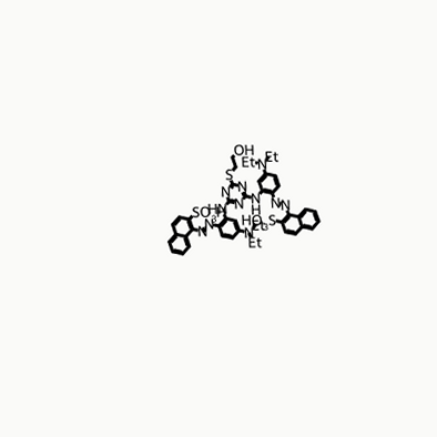 CCN(CC)c1ccc(/N=N/c2c(S(=O)(=O)O)ccc3ccccc23)c(Nc2nc(Nc3cc(N(CC)CC)ccc3/N=N/c3c(S(=O)(=O)O)ccc4ccccc34)nc(SCCO)n2)c1